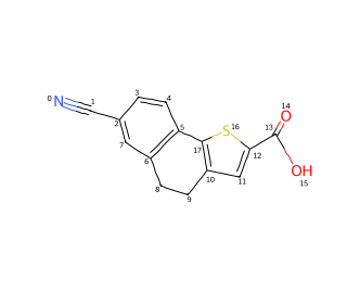 N#Cc1ccc2c(c1)CCc1cc(C(=O)O)sc1-2